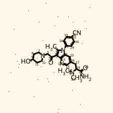 Cc1c(C(=O)CN2CCC(O)CC2)c2ncc(CC(C(N)=O)N(C)C)cc2n1-c1ccc(C#N)cc1